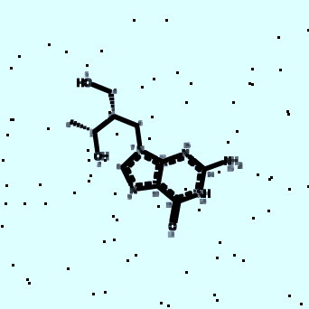 C[C@@H](O)[C@H](CO)Cn1cnc2c(=O)[nH]c(N)nc21